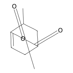 CC1CC2CC=C1C(=O)OC2=O